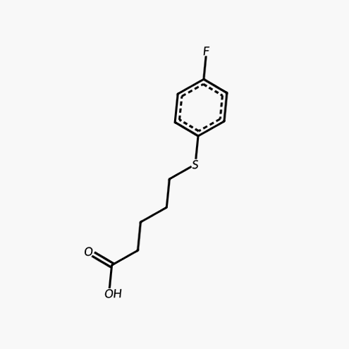 O=C(O)CCCCSc1ccc(F)cc1